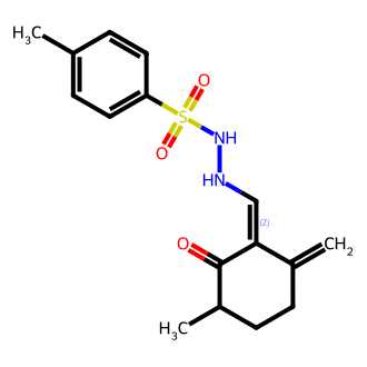 C=C1CCC(C)C(=O)/C1=C\NNS(=O)(=O)c1ccc(C)cc1